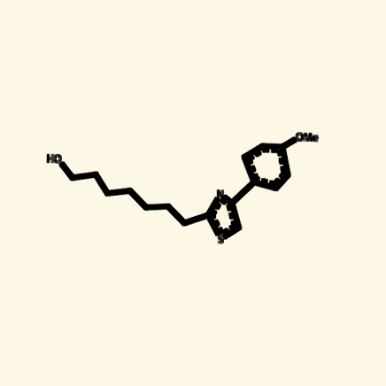 COc1ccc(-c2csc(CCCCCCCO)n2)cc1